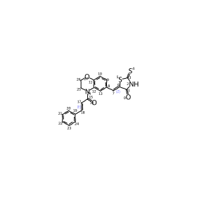 O=C1NC(=S)S/C1=C\c1ccc2c(c1)N(C(=O)/C=C/c1ccccc1)CCO2